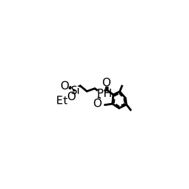 CCO[Si](=O)CCC[PH](=O)C(=O)c1c(C)cc(C)cc1C